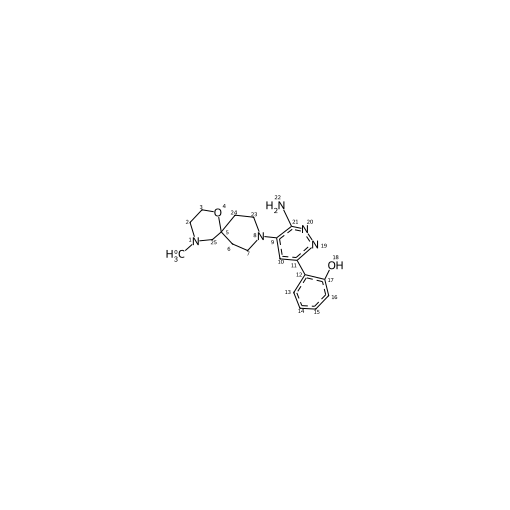 CN1CCOC2(CCN(c3cc(-c4ccccc4O)nnc3N)CC2)C1